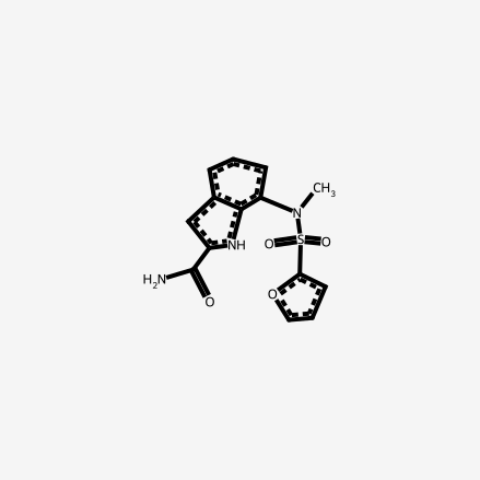 CN(c1cccc2cc(C(N)=O)[nH]c12)S(=O)(=O)c1ccco1